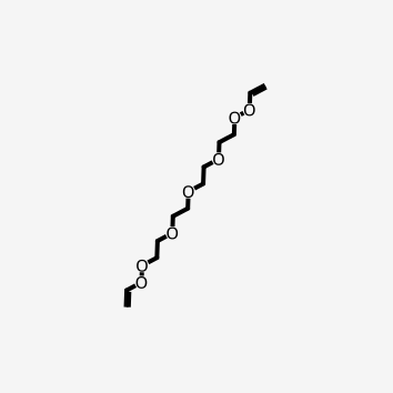 C=COOCCOCCOCCOCCOOC=C